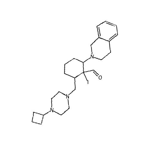 O=CC1(I)C(CN2CCN(C3CCC3)CC2)CCCC1N1CCc2ccccc2C1